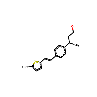 Cc1ccc(/C=C/c2ccc(C(C)CCO)cc2)s1